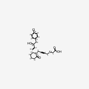 O=C(O)CSCC#CCN1C(=O)CCC[C@@H]1/C=C/C(O)Cc1ccc(Cl)cc1